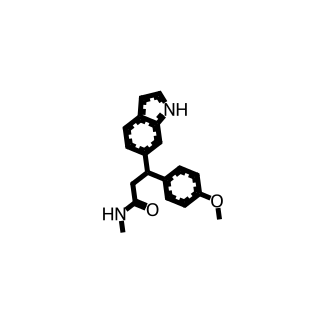 CNC(=O)CC(c1ccc(OC)cc1)c1ccc2cc[nH]c2c1